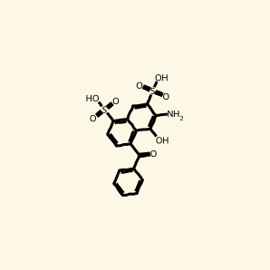 Nc1c(S(=O)(=O)O)cc2c(S(=O)(=O)O)ccc(C(=O)c3ccccc3)c2c1O